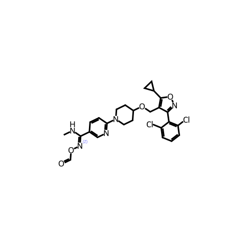 CN/C(=N\OC=O)c1ccc(N2CCC(OCc3c(-c4c(Cl)cccc4Cl)noc3C3CC3)CC2)nc1